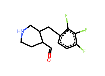 O=CC1CCNCC1Cc1ccc(F)c(F)c1F